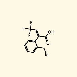 O=C(O)/C(=C/C(F)(F)F)c1ccccc1CBr